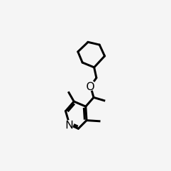 Cc1cncc(C)c1C(C)OCC1CCCCC1